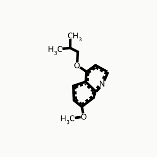 COc1ccc2c(OCC(C)C)ccnc2c1